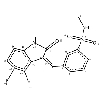 CNS(=O)(=O)c1cccc(/C=C2\C(=O)Nc3ccc(F)c(F)c32)c1